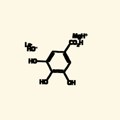 O=C(O)c1cc(O)c(O)c(O)c1.[La].[MgH+].[OH-]